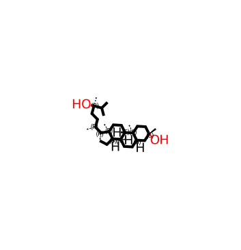 CC(C)[C@](C)(O)CC[C@@H](C)[C@H]1CC[C@H]2[C@@H]3CC[C@H]4C[C@@](C)(O)CC[C@]4(C)[C@H]3CC[C@]12C